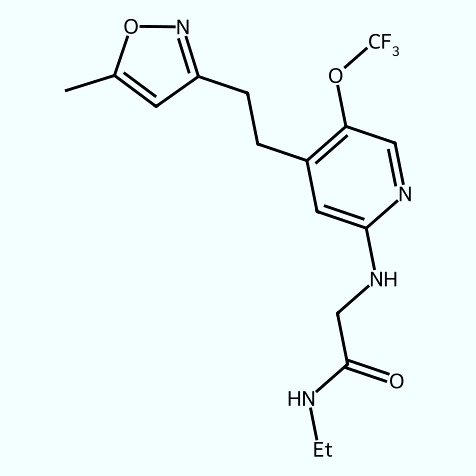 CCNC(=O)CNc1cc(CCc2cc(C)on2)c(OC(F)(F)F)cn1